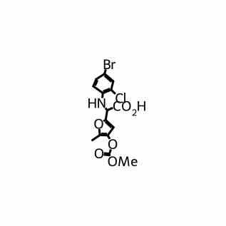 COC(=O)Oc1cc(C(Nc2ccc(Br)cc2Cl)C(=O)O)oc1C